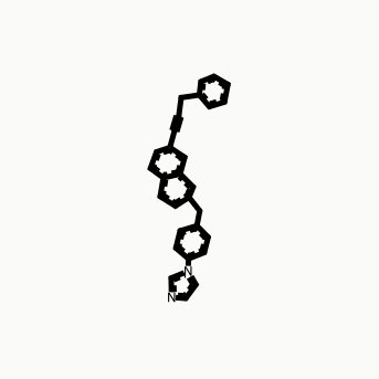 C(#Cc1ccc2ccc(Cc3ccc(-n4ccnc4)cc3)cc2c1)Cc1ccccc1